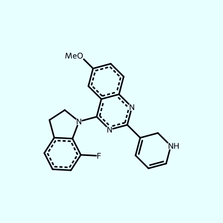 COc1ccc2nc(C3=CC=CNC3)nc(N3CCc4cccc(F)c43)c2c1